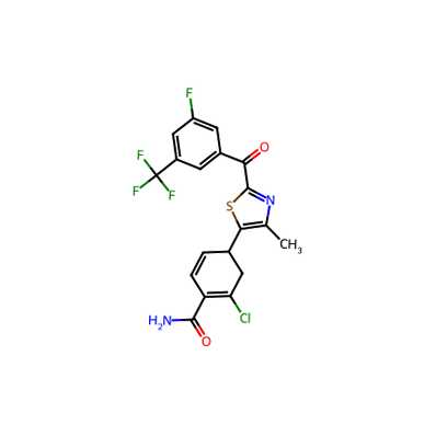 Cc1nc(C(=O)c2cc(F)cc(C(F)(F)F)c2)sc1C1C=CC(C(N)=O)=C(Cl)C1